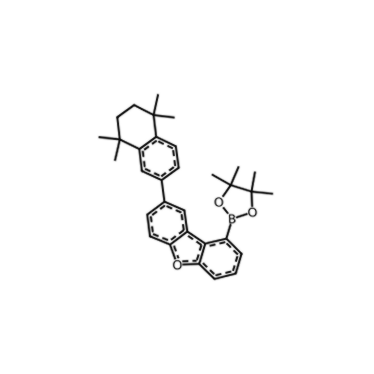 CC1(C)CCC(C)(C)c2cc(-c3ccc4oc5cccc(B6OC(C)(C)C(C)(C)O6)c5c4c3)ccc21